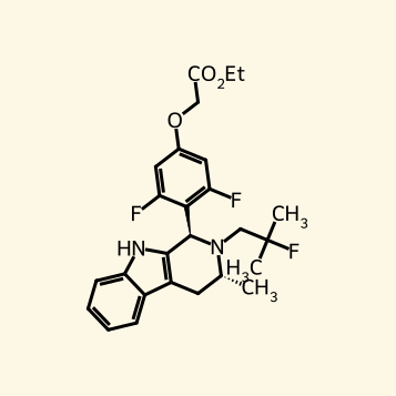 CCOC(=O)COc1cc(F)c([C@@H]2c3[nH]c4ccccc4c3C[C@@H](C)N2CC(C)(C)F)c(F)c1